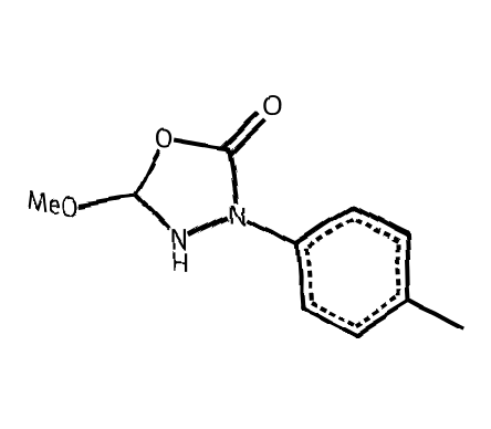 COC1NN(c2ccc(C)cc2)C(=O)O1